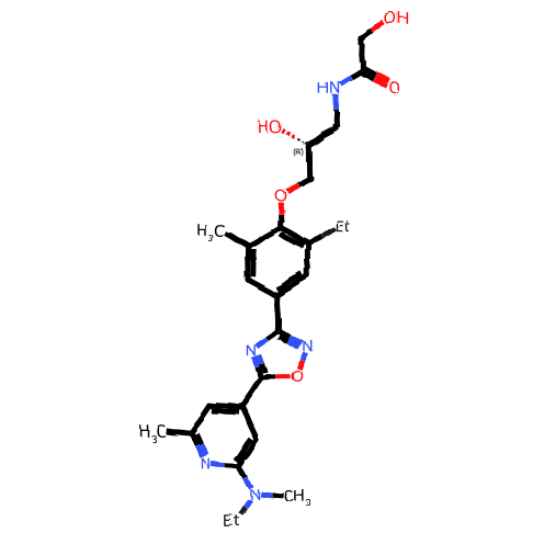 CCc1cc(-c2noc(-c3cc(C)nc(N(C)CC)c3)n2)cc(C)c1OC[C@H](O)CNC(=O)CO